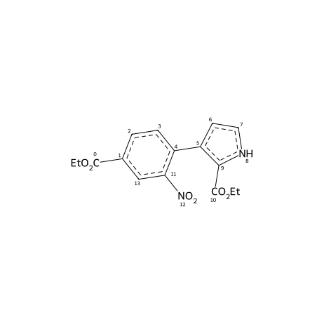 CCOC(=O)c1ccc(-c2cc[nH]c2C(=O)OCC)c([N+](=O)[O-])c1